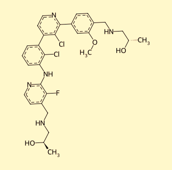 COc1cc(-c2nccc(-c3cccc(Nc4nccc(CNC[C@@H](C)O)c4F)c3Cl)c2Cl)ccc1CNC[C@H](C)O